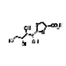 O=C(O)[C@@H]1CSC([C@H](O)[C@H](O)[C@H](O)CO)N1